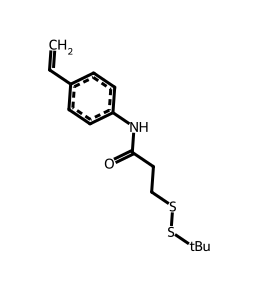 C=Cc1ccc(NC(=O)CCSSC(C)(C)C)cc1